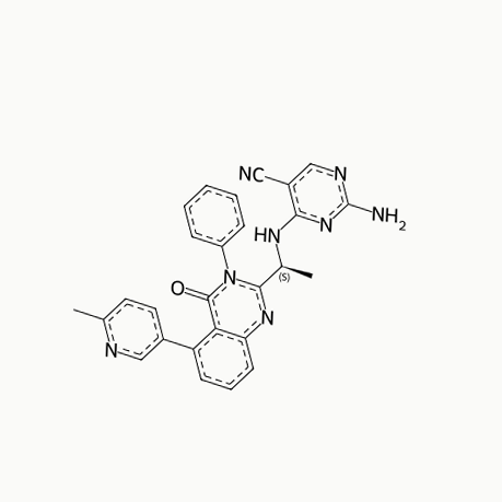 Cc1ccc(-c2cccc3nc([C@H](C)Nc4nc(N)ncc4C#N)n(-c4ccccc4)c(=O)c23)cn1